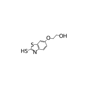 OCCOc1ccc2nc(S)sc2c1